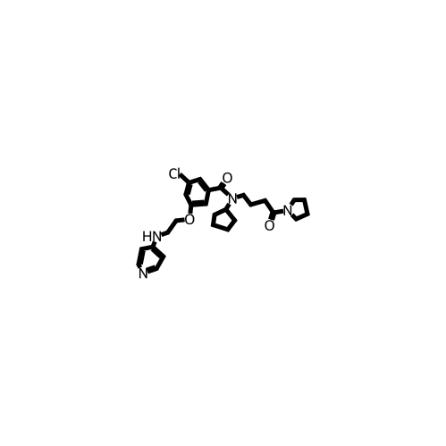 O=C(CCCN(C(=O)c1cc(Cl)cc(OCCNc2ccncc2)c1)C1CCCC1)N1CCCC1